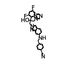 N#Cc1ccc(CNc2ccc3cn(CC(O)(Cn4cncn4)c4ccc(F)cc4F)nc3c2)cc1